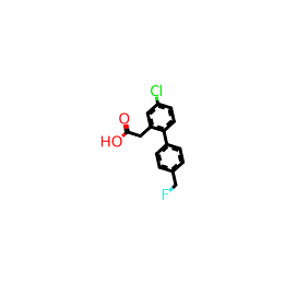 O=C(O)Cc1cc(Cl)ccc1-c1ccc(CF)cc1